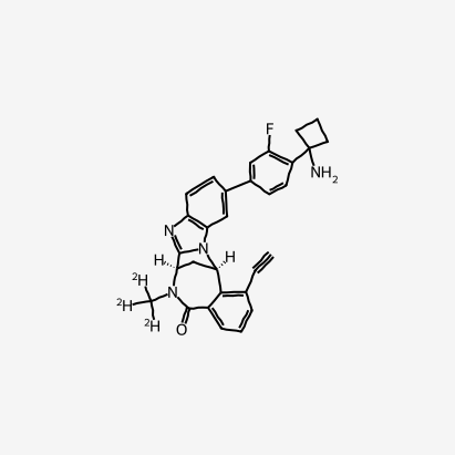 [2H]C([2H])([2H])N1C(=O)c2cccc(C#C)c2[C@H]2C[C@@H]1c1nc3ccc(-c4ccc(C5(N)CCC5)c(F)c4)cc3n12